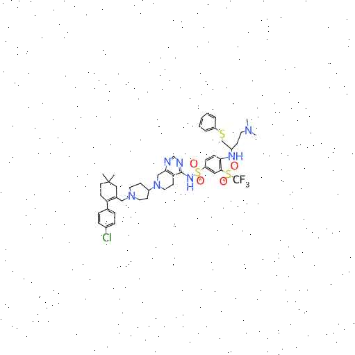 CN(C)CCC(CSc1ccccc1)Nc1ccc(S(=O)(=O)Nc2ncnc3c2CCN(C2CCN(CC4=C(c5ccc(Cl)cc5)CCC(C)(C)C4)CC2)C3)cc1S(=O)(=O)C(F)(F)F